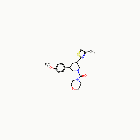 Cc1csc(C2CC(c3ccc(OC(F)(F)F)cc3)CN(C(=O)N3CCOCC3)C2)n1